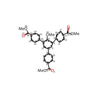 COC(=O)c1ccc(-c2cc(-c3ccc(C(=O)OC)cc3)c(OC)c(-c3ccc(C(=O)OC)cc3)c2)cc1